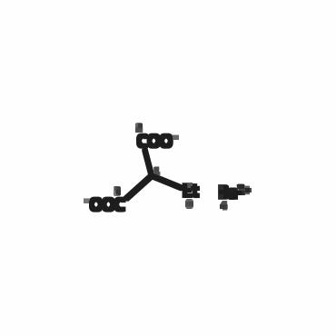 CCC(C(=O)[O-])C(=O)[O-].[Ba+2]